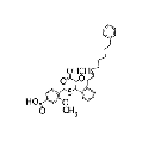 COc1cc(C(=O)O)ccc1CSC(c1ccccc1CCCCCCCCc1ccccc1)C(OC)C(=O)O